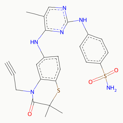 C#CCN1C(=O)C(C)(C)Sc2ccc(Nc3nc(Nc4ccc(S(N)(=O)=O)cc4)ncc3C)cc21